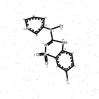 CCN(C1=NS(=O)(=O)c2cc(F)ccc2N1)c1cccnc1